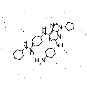 N[C@H]1CC[C@H](Nc2nc(NC3CCN(C(=O)NC4CCCCC4)CC3)c3ncn(C4CCCC4)c3n2)CC1